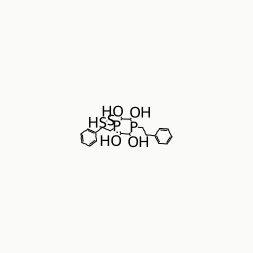 OC1C(O)[P](CCc2ccccc2)(SS)C(O)C(O)P1CCc1ccccc1